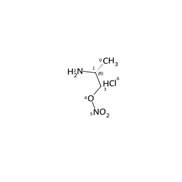 C[C@@H](N)CO[N+](=O)[O-].Cl